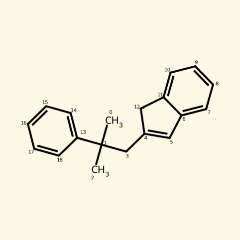 CC(C)(CC1=Cc2ccccc2[CH]1)c1ccccc1